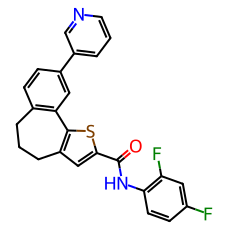 O=C(Nc1ccc(F)cc1F)c1cc2c(s1)-c1cc(-c3cccnc3)ccc1CCC2